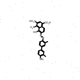 Cc1cc(-c2ccc(C(C)(C)C)c(C)c2)ccc1/N=N/c1ccc2c(S(=O)(=O)O)cc(S(=O)(=O)O)c(N)c2c1O